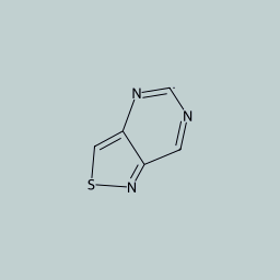 [c]1ncc2nscc2n1